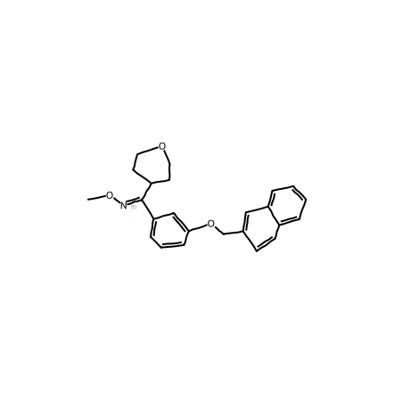 CO/N=C(/c1cccc(OCc2ccc3ccccc3c2)c1)C1CCOCC1